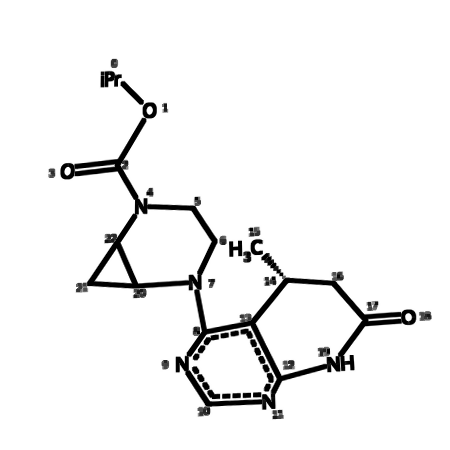 CC(C)OC(=O)N1CCN(c2ncnc3c2[C@H](C)CC(=O)N3)C2CC21